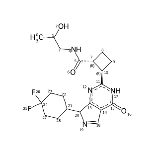 CC(O)CNC(=O)[C@@H]1CC[C@H]1c1nc2c(c(=O)[nH]1)C=NC2C1CCC(F)(F)CC1